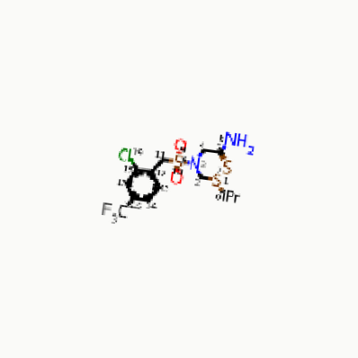 CC(C)SCN(CC(N)=S)S(=O)(=O)Cc1ccc(C(F)(F)F)cc1Cl